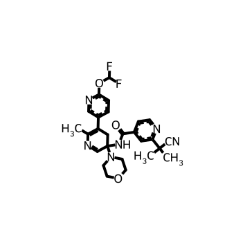 CC1=C(c2ccc(OC(F)F)nc2)CC(NC(=O)c2ccnc(C(C)(C)C#N)c2)(N2CCOCC2)C=N1